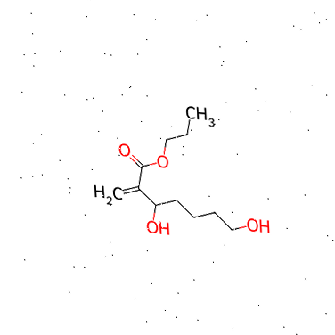 C=C(C(=O)OCCC)C(O)CCCCO